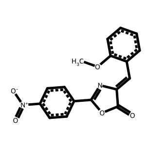 COc1ccccc1/C=C1\N=C(c2ccc([N+](=O)[O-])cc2)OC1=O